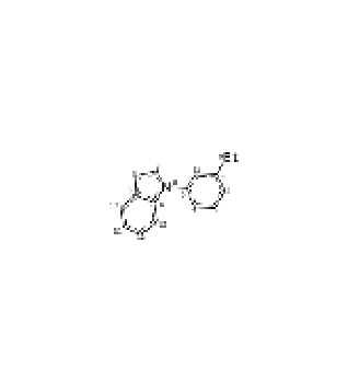 CCc1cccc(-n2ccc3ccccc32)c1